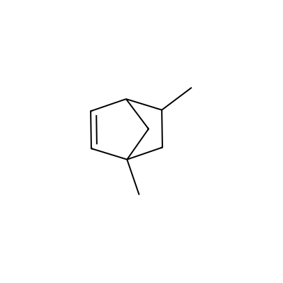 CC1CC2(C)C=CC1C2